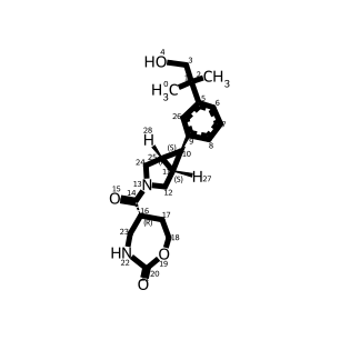 CC(C)(CO)c1cccc([C@H]2[C@@H]3CN(C(=O)[C@@H]4CCOC(=O)NC4)C[C@@H]32)c1